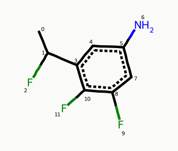 CC(F)c1cc(N)cc(F)c1F